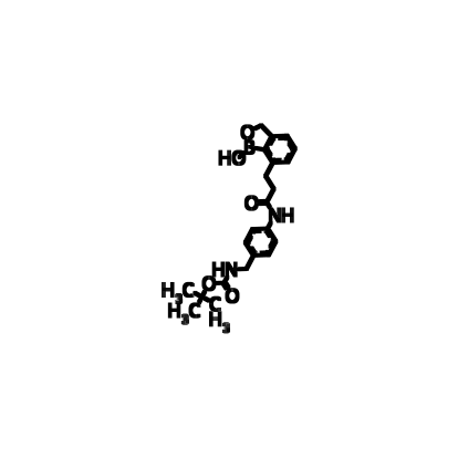 CC(C)(C)OC(=O)NCc1ccc(NC(=O)CCc2cccc3c2B(O)OC3)cc1